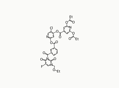 CCOCn1cc(F)c(=O)n(C(=O)c2cccc(C(=O)Oc3cc(OC(=O)c4cc(OC(=O)CC)nc(OC(=O)CC)c4)c(Cl)cn3)c2)c1=O